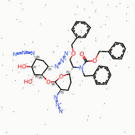 [N-]=[N+]=N[C@H]1C[C@@H](N=[N+]=[N-])[C@H](O)[C@@H](O)[C@@H]1O[C@H]1O[C@H](C(COCc2ccccc2)N(Cc2ccccc2)C(=O)OCc2ccccc2)CC[C@H]1N=[N+]=[N-]